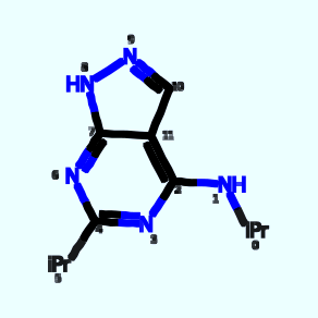 CC(C)Nc1nc(C(C)C)nc2[nH]ncc12